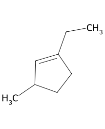 CCC1=CC(C)CC1